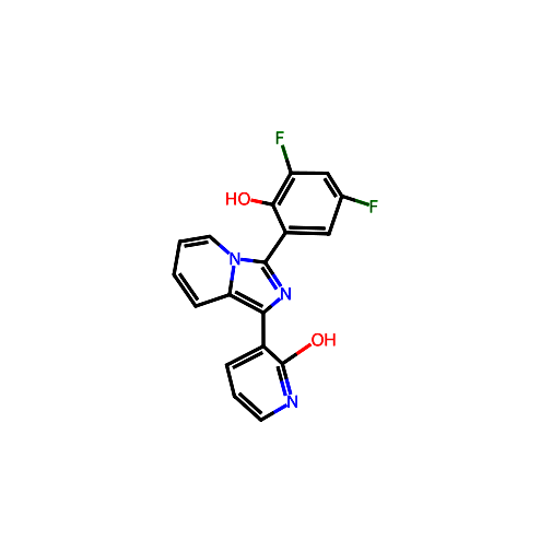 Oc1ncccc1-c1nc(-c2cc(F)cc(F)c2O)n2ccccc12